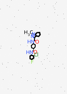 Cn1nc(C(=O)N[C@H]2CC[C@H](C(=O)Nc3ccc(F)cc3Cl)CC2)c2ccccc21